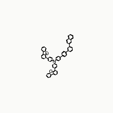 c1cc(-c2ccc(-c3ccc(N(c4ccc(-c5cccc6c5oc5ccccc56)cc4)c4ccc(-c5cccc6c5oc5ccccc56)cc4)cc3)cc2)cc(-c2ccc3ccccc3c2)c1